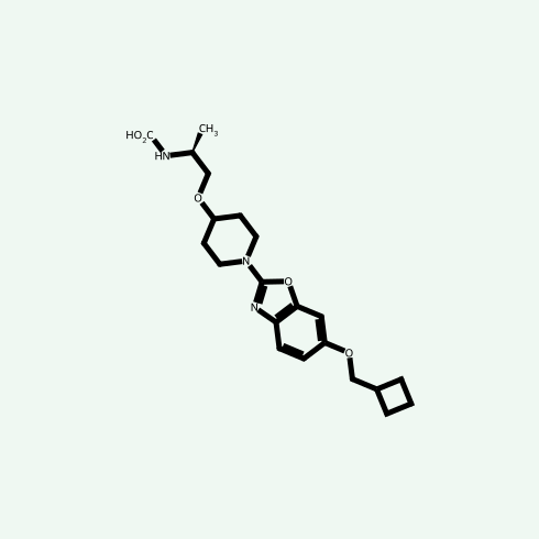 C[C@@H](COC1CCN(c2nc3ccc(OCC4CCC4)cc3o2)CC1)NC(=O)O